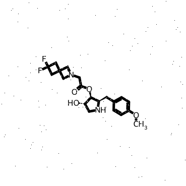 COc1ccc(C[C@H]2NC[C@H](O)[C@H]2OC(=O)CN2CC3(C2)CC(F)(F)C3)cc1